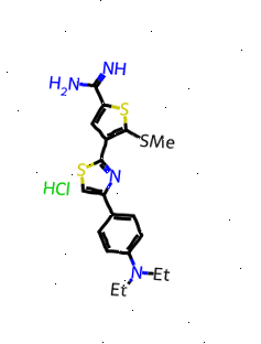 CCN(CC)c1ccc(-c2csc(-c3cc(C(=N)N)sc3SC)n2)cc1.Cl